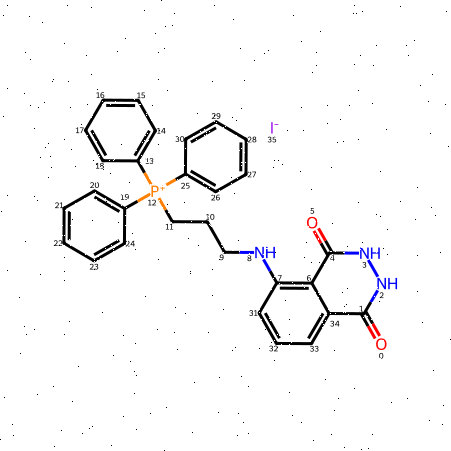 O=c1[nH][nH]c(=O)c2c(NCCC[P+](c3ccccc3)(c3ccccc3)c3ccccc3)cccc12.[I-]